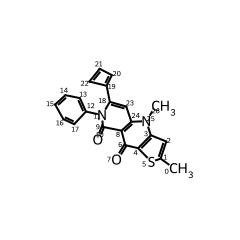 Cc1cc2c(s1)c(=O)c1c(=O)n(-c3ccccc3)c(C3=CC=C3)cc1n2C